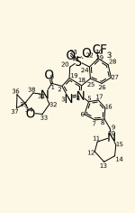 O=C(c1nn(-c2ccc(CN3CCCCC3)cc2)c2c1CS(=O)(=O)c1c-2cccc1C(F)(F)F)N1CCOC2(CC2)C1